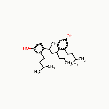 CCCC(CC(C)c1ccc(O)cc1CCC(C)C)c1ccc(O)cc1CCC(C)C